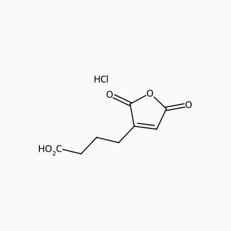 Cl.O=C(O)CCCC1=CC(=O)OC1=O